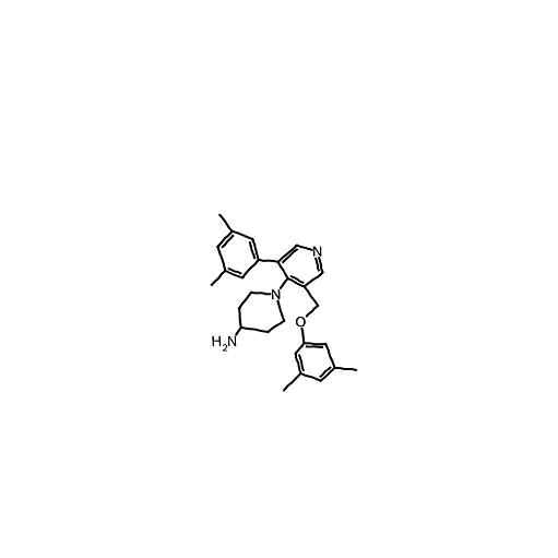 Cc1cc(C)cc(OCc2cncc(-c3cc(C)cc(C)c3)c2N2CCC(N)CC2)c1